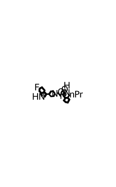 CCCC1NS(=O)(=O)N(CCN2CC=C(c3c[nH]c4cc(F)ccc34)CC2)c2ccccc21